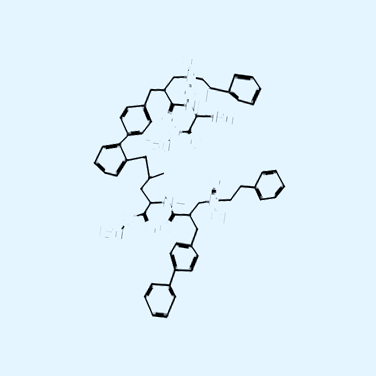 CCC(C)C(NC(=O)C(Cc1ccc(-c2ccccc2CC(C)CC(NC(=O)C(Cc2ccc(-c3ccccc3)cc2)CP(=O)(O)CCc2ccccc2)C(=O)OC(C)(C)C)cc1)CP(=O)(O)CCc1ccccc1)C(=O)OC(C)(C)C